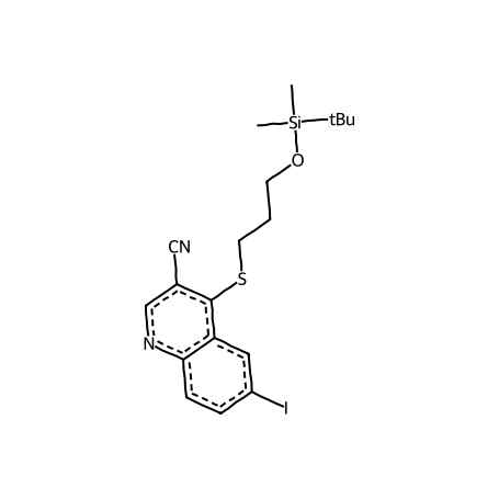 CC(C)(C)[Si](C)(C)OCCCSc1c(C#N)cnc2ccc(I)cc12